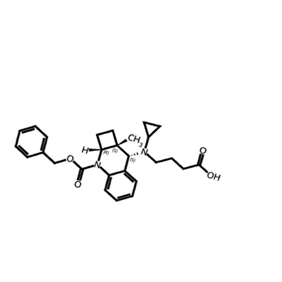 C[C@]12CC[C@H]1N(C(=O)OCc1ccccc1)c1ccccc1[C@H]2N(CCCC(=O)O)C1CC1